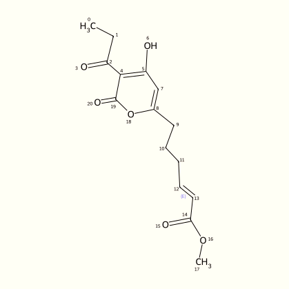 CCC(=O)c1c(O)cc(CCC/C=C/C(=O)OC)oc1=O